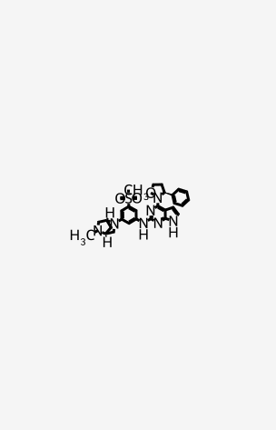 CN1C[C@H]2C[C@H]1CN2c1cc(Nc2nc(N3OCC[C@H]3c3ccccc3)c3cc[nH]c3n2)cc(S(C)(=O)=O)c1